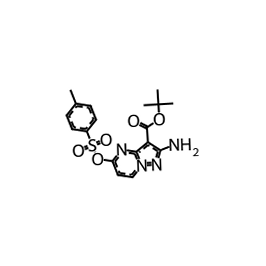 Cc1ccc(S(=O)(=O)Oc2ccn3nc(N)c(C(=O)OC(C)(C)C)c3n2)cc1